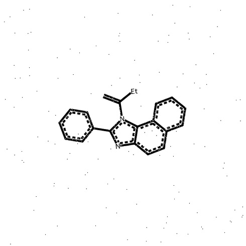 C=C(CC)n1c(-c2ccccc2)nc2ccc3ccccc3c21